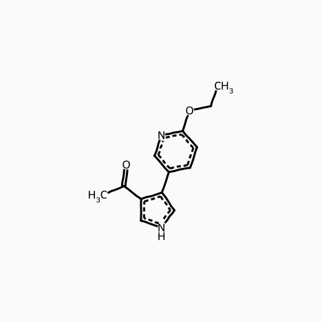 CCOc1ccc(-c2c[nH]cc2C(C)=O)cn1